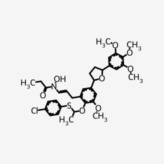 CCC(=O)N(O)C=CCc1cc(C2CCC(c3cc(OC)c(OC)c(OC)c3)O2)cc(OC)c1OC(C)Sc1ccc(Cl)cc1